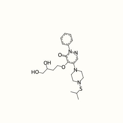 CC(C)SN1CCN(c2cnn(-c3ccccc3)c(=O)c2OCCC(O)CO)CC1